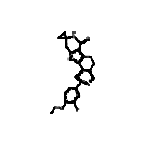 CCOc1ccc(-c2cc3c(cn2)CCc2c-3[nH]c3c2C(=O)NC2(CC2)C3)cc1F